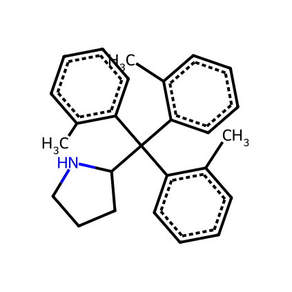 Cc1ccccc1C(c1ccccc1C)(c1ccccc1C)C1CCCN1